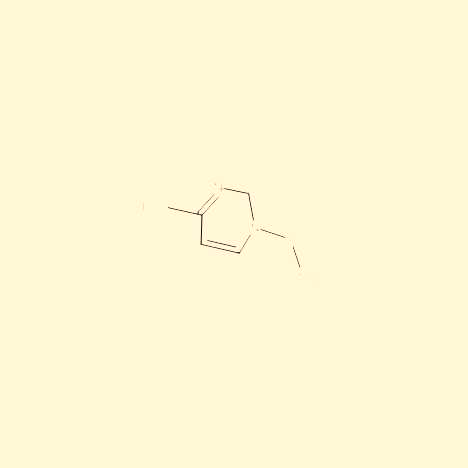 [CH2]SN1C=CC(C)=NC1